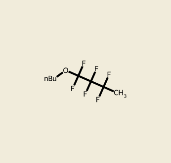 [CH2]CCCOC(F)(F)C(F)(F)C(C)(F)F